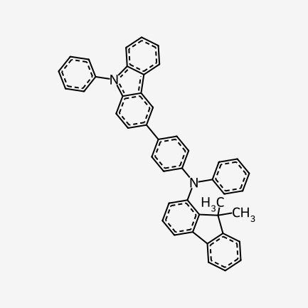 CC1(C)c2ccccc2-c2cccc(N(c3ccccc3)c3ccc(-c4ccc5c(c4)c4ccccc4n5-c4ccccc4)cc3)c21